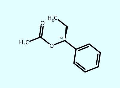 CC[C@H](OC(C)=O)c1ccccc1